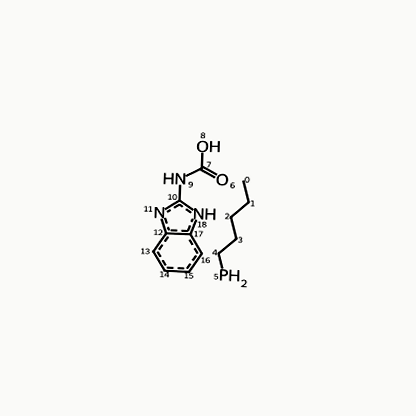 CCCCCP.O=C(O)Nc1nc2ccccc2[nH]1